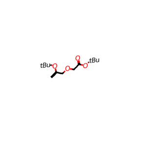 C=C(COCC(=O)OC(C)(C)C)OC(C)(C)C